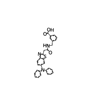 O=C(Cc1nc2ccc(N(c3ccccc3)c3ccccc3)cc2s1)NCc1cccc(C(=O)O)c1